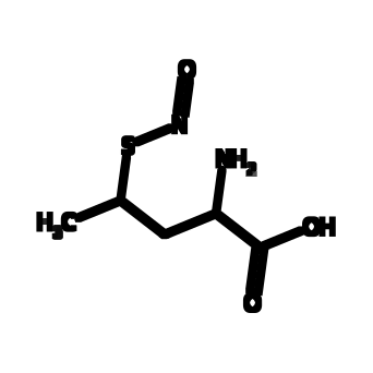 CC(CC(N)C(=O)O)SN=O